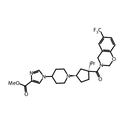 COC(=O)c1cn(C2CCN([C@@H]3CC[C@@](C(=O)N4COc5ccc(C(F)(F)F)cc5C4)(C(C)C)C3)CC2)cn1